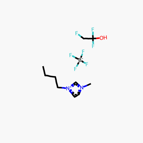 CCCC[n+]1ccn(C)c1.F[B-](F)(F)F.OC(F)(F)CF